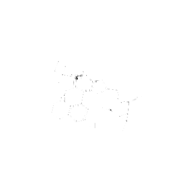 CC1(C)C2C(=O)N(Cc3cc4nccc(-c5cc(Cl)cc6c5N([C@@H]5CNC7(CCC7)C5)CCC6)c4s3)C(=O)C21